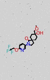 COC[C@]1(O)CC[C@]2(CCN(c3ccc(OCC(F)(F)F)nc3)C2=O)CC1